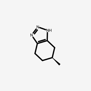 C[C@H]1CCc2nn[nH]c2C1